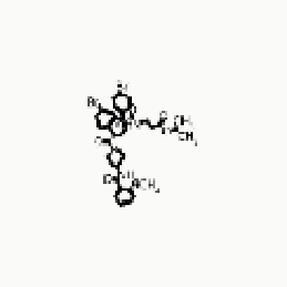 COc1ccccc1C(=O)NC1CCN(C(=O)[C@H]2CC[C@](C(=O)NCCC(=O)OC(C)C)(c3ccc(Br)cc3)c3cc(Br)ccc32)CC1